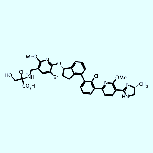 COc1nc(O[C@H]2CCc3c(-c4cccc(-c5ccc(C6=N[C@H](C)CN6)c(OC)n5)c4Cl)cccc32)c(Br)cc1CNC(C)(CO)C(=O)O